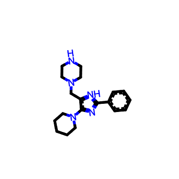 c1ccc(-c2nc(N3CCCCC3)c(CN3CCNCC3)[nH]2)cc1